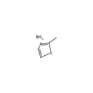 B.Cc1nccs1